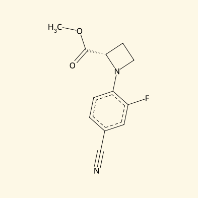 COC(=O)[C@@H]1CCN1c1ccc(C#N)cc1F